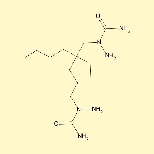 CCCCC(CC)(CCCN(N)C(N)=O)CN(N)C(N)=O